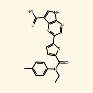 CCN(C(=O)c1ccc(-c2cnc3[nH]cc(C(=O)O)c3n2)s1)c1ccc(C)cc1